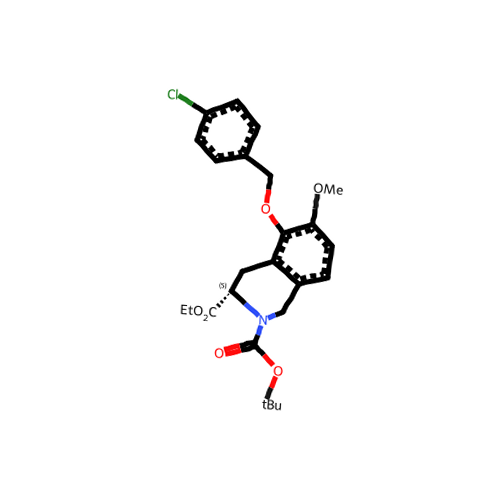 CCOC(=O)[C@@H]1Cc2c(ccc(OC)c2OCc2ccc(Cl)cc2)CN1C(=O)OC(C)(C)C